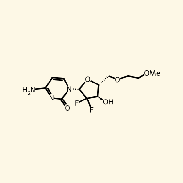 COCCOC[C@H]1O[C@@H](n2ccc(N)nc2=O)C(F)(F)[C@@H]1O